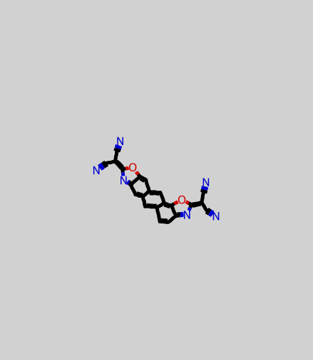 N#CC(C#N)=c1nc2cc3cc4ccc5nc(=C(C#N)C#N)oc5c4cc3cc2o1